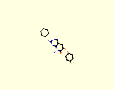 Cn1c(=O)c(Oc2ccc(F)cc2)cc2cnc(N[C@H]3CC[C@H](O)CC3)nc21